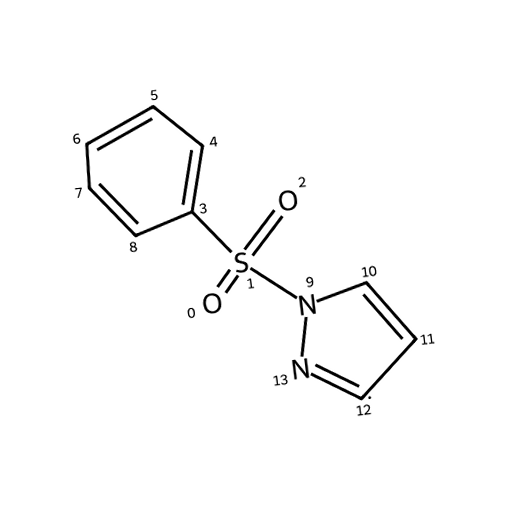 O=S(=O)(c1ccccc1)n1cc[c]n1